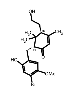 COc1cc(C[C@H]2C(=O)C=C(C)[C@H](CCO)C2(C)C)c(O)cc1Br